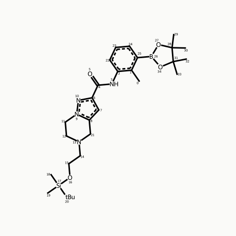 Cc1c(NC(=O)c2cc3n(n2)CCN(CCO[Si](C)(C)C(C)(C)C)C3)cccc1B1OC(C)(C)C(C)(C)O1